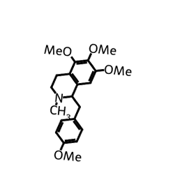 COc1ccc(CC2c3cc(OC)c(OC)c(OC)c3CCN2C)cc1